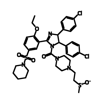 CCOc1ccc(S(=O)(=O)N2CCCCC2)cc1C1=NC(c2ccc(Cl)cc2)C(c2ccc(Cl)cc2)N1C(=O)N1CCN(CC[S+](C)[O-])CC1